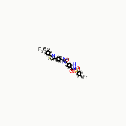 CC(C)c1ccc(S(=O)(=O)NC(=O)c2ccc(-c3nc(-c4ccc(-c5csc(-c6ccc(C(F)(F)F)cc6)n5)cc4)no3)cc2)cc1